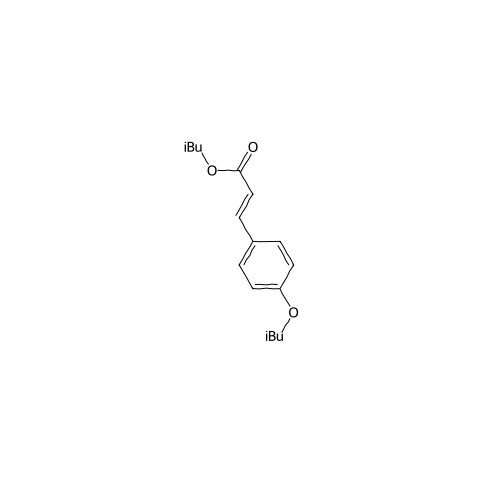 CCC(C)OC(=O)C=Cc1ccc(OC(C)CC)cc1